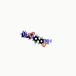 CS(=N)(=O)c1ccc(-c2ccc(N3CC(Cn4ccnn4)OC3=O)cc2F)cc1